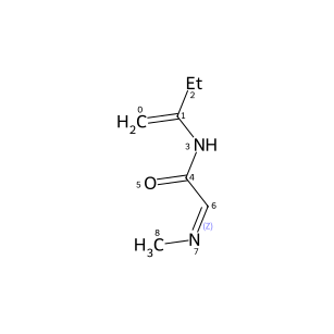 C=C(CC)NC(=O)/C=N\C